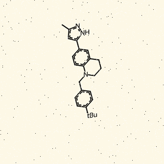 Cc1cc(-c2ccc3c(c2)CCCN3Cc2ccc(C(C)(C)C)cc2)[nH]n1